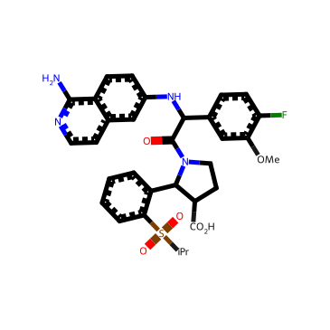 COc1cc(C(Nc2ccc3c(N)nccc3c2)C(=O)N2CCC(C(=O)O)C2c2ccccc2S(=O)(=O)C(C)C)ccc1F